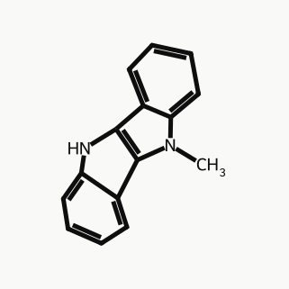 Cn1c2ccccc2c2[nH]c3ccccc3c21